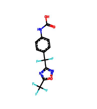 O=C(O)Nc1ccc(C(F)(F)c2noc(C(F)(F)F)n2)cc1